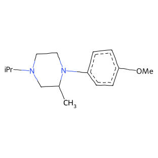 COc1ccc(N2CCN(C(C)C)CC2C)cc1